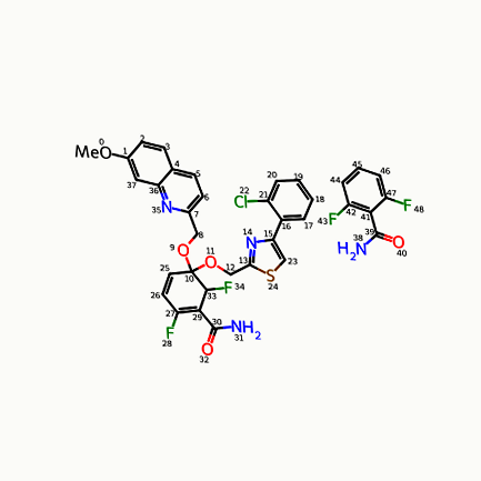 COc1ccc2ccc(COC3(OCc4nc(-c5ccccc5Cl)cs4)C=CC(F)=C(C(N)=O)C3F)nc2c1.NC(=O)c1c(F)cccc1F